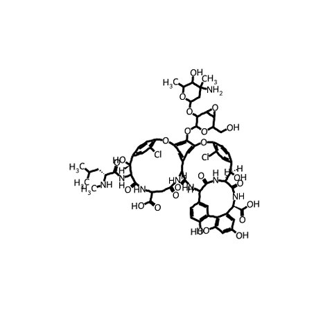 CN[C@H](CC(C)C)C(=O)NC1C(=O)NC(C(=O)O)CC(=O)N[C@H]2C(=O)N[C@H]3C(=O)N[C@H](C(=O)N[C@@H](C(=O)O)c4cc(O)cc(O)c4-c4cc3ccc4O)[C@H](O)c3ccc(c(Cl)c3)Oc3cc2cc(c3OC2OC(CO)C3OC3C2OC2CC(C)(N)C(O)C(C)O2)Oc2ccc(cc2Cl)[C@H]1O